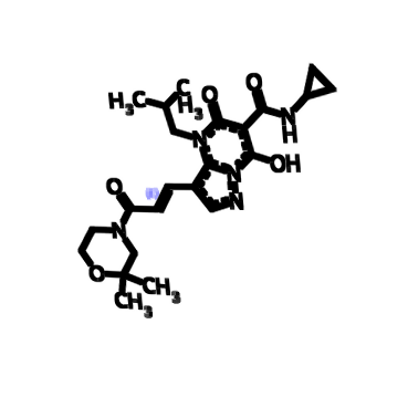 CC(C)Cn1c(=O)c(C(=O)NC2CC2)c(O)n2ncc(/C=C/C(=O)N3CCOC(C)(C)C3)c12